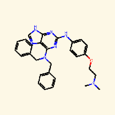 CN(C)CCOc1ccc(Nc2nc(N(Cc3ccccc3)Cc3ccccc3)c3nc[nH]c3n2)cc1